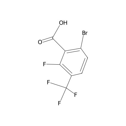 O=C(O)c1c(Br)ccc(C(F)(F)F)c1F